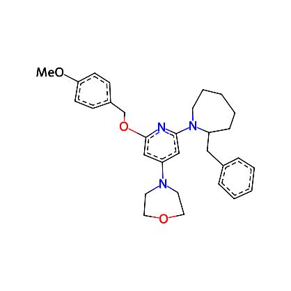 COc1ccc(COc2cc(N3CCOCC3)cc(N3CCCCCC3Cc3ccccc3)n2)cc1